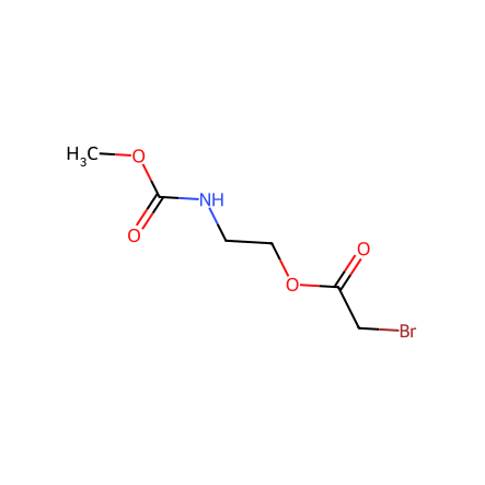 COC(=O)NCCOC(=O)CBr